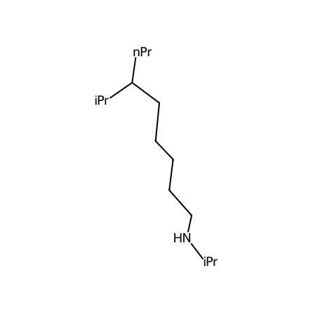 CCCC(CCCCCNC(C)C)C(C)C